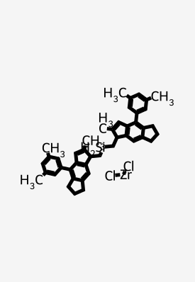 CC1=Cc2c(cc3c(c2-c2cc(C)cc(C)c2)CCC3)C1C[SiH2]CC1C(C)=Cc2c1cc1c(c2-c2cc(C)cc(C)c2)CCC1.[Cl][Zr][Cl]